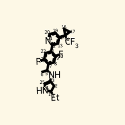 CCC1CC(NC(C)c2cc(F)c(-c3cc(C4(C(F)(F)F)CC4)ccn3)cc2F)=CN1